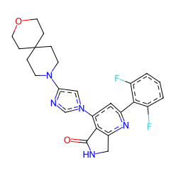 O=C1NCc2nc(-c3c(F)cccc3F)cc(-n3cnc(N4CCC5(CCOCC5)CC4)c3)c21